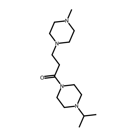 CC(C)N1CCN(C(=O)CCN2CCN(C)CC2)CC1